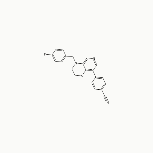 N#Cc1ccc(-c2cncc3c2SCCN3Cc2ccc(F)cc2)cc1